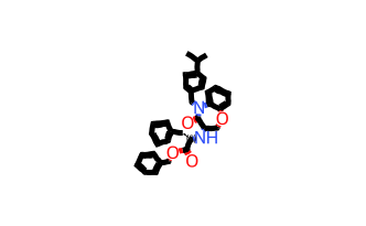 CC(C)c1ccc(CN2C(=O)C(N[C@@H](Cc3ccccc3)C(=O)OCc3ccccc3)COc3ccccc32)cc1